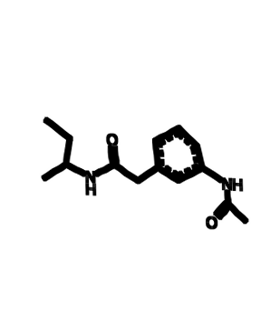 CCC(C)NC(=O)Cc1cccc(NC(C)=O)c1